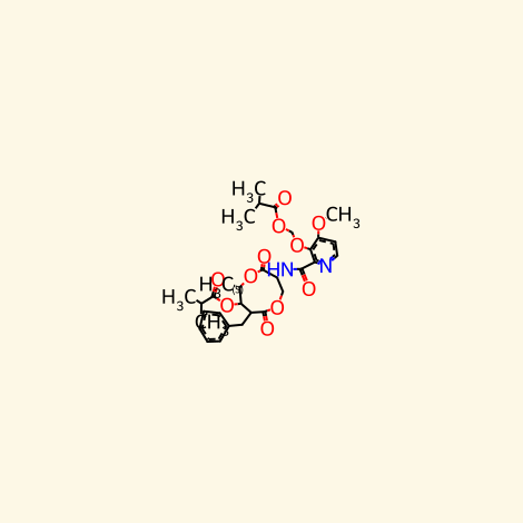 COc1ccnc(C(=O)NC2COC(=O)C(Cc3ccccc3)C(OC(=O)C(C)C)[C@H](C)OC2=O)c1OCOC(=O)C(C)C